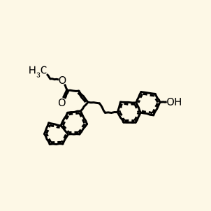 CCOC(=O)C=C(CCc1ccc2cc(O)ccc2c1)c1ccc2ccccc2c1